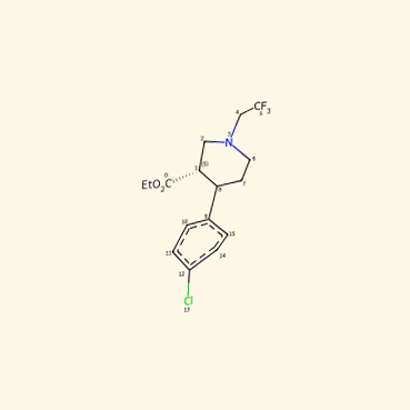 CCOC(=O)[C@@H]1CN(CC(F)(F)F)CCC1c1ccc(Cl)cc1